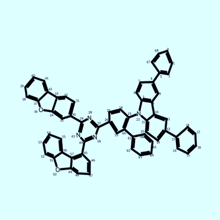 c1ccc(-c2ccc3c(c2)c2cc(-c4ccccc4)ccc2n3-c2ccc(-c3nc(-c4ccc5c(c4)oc4ccccc45)nc(-c4cccc5oc6ccccc6c45)n3)cc2-c2ccccc2)cc1